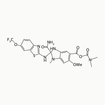 COc1cc2c(cc1C(=O)OC(=O)N(C)C)NC(Nc1nc3ccc(OC(F)(F)F)cc3s1)(C(N)=O)N2C